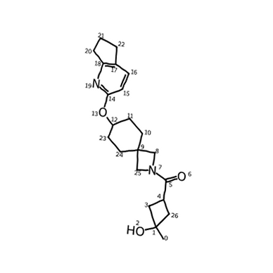 CC1(O)CC(C(=O)N2CC3(CCC(Oc4ccc5c(n4)CCC5)CC3)C2)C1